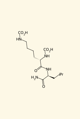 CC(C)C[C@H](NC(=O)[C@H](CCCCNC(=O)O)NC(=O)O)C(N)=O